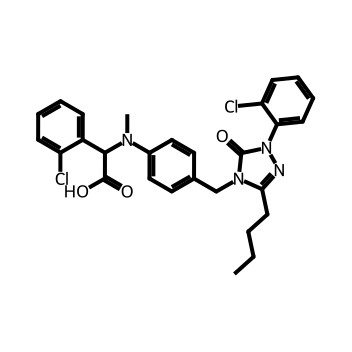 CCCCc1nn(-c2ccccc2Cl)c(=O)n1Cc1ccc(N(C)C(C(=O)O)c2ccccc2Cl)cc1